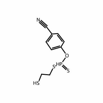 N#Cc1ccc(O[PH](=S)SCCS)cc1